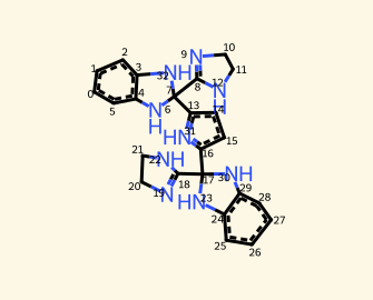 c1ccc2c(c1)NC(C1=NCCN1)(c1ccc(C3(C4=NCCN4)Nc4ccccc4N3)[nH]1)N2